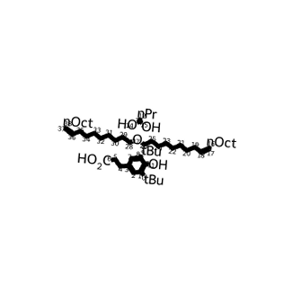 CC(C)(C)c1cc(CCC(=O)O)cc(C(C)(C)C)c1O.CCCC(O)O.CCCCCCCC/C=C\CCCCCCCCOCCCCCCCC/C=C\CCCCCCCC